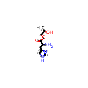 CC(O)COC(=O)[C@@H](N)Cc1c[nH]cn1